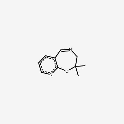 CC1(C)CN=Cc2cccnc2O1